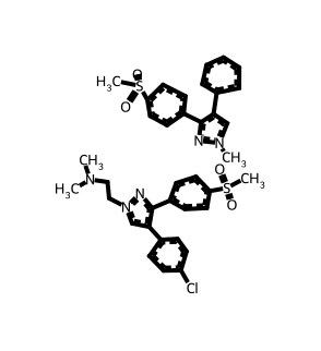 CN(C)CCn1cc(-c2ccc(Cl)cc2)c(-c2ccc(S(C)(=O)=O)cc2)n1.Cn1cc(-c2ccccc2)c(-c2ccc(S(C)(=O)=O)cc2)n1